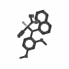 COc1ccc(C(c2cccc3ccccc23)[C@@](C)(C#N)C(=O)O)c(OC)c1